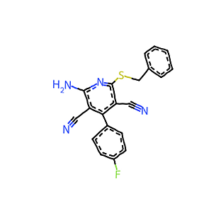 N#Cc1c(N)nc(SCc2ccccc2)c(C#N)c1-c1ccc(F)cc1